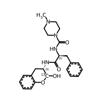 CN1CCN(C(=O)N[C@@H](Cc2ccccc2)C(=O)N[C@H]2Cc3ccccc3O[13CH]2O)CC1